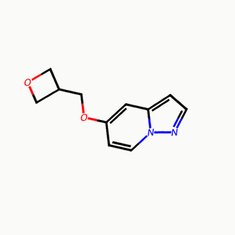 c1cc2cc(OCC3COC3)ccn2n1